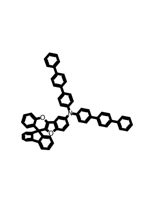 c1ccc(-c2ccc(-c3ccc(N(c4ccc(-c5ccc(-c6ccccc6)cc5)cc4)c4ccc5oc6c(c5c4)Oc4ccccc4C64c5ccccc5-c5ccccc54)cc3)cc2)cc1